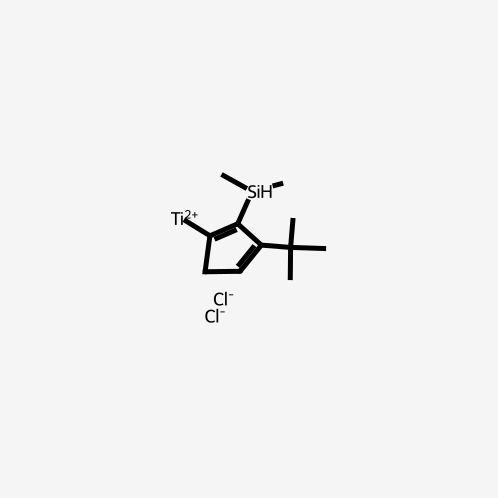 C[SiH](C)C1=[C]([Ti+2])CC=C1C(C)(C)C.[Cl-].[Cl-]